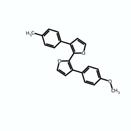 COc1ccc(-c2ccoc2-c2occc2-c2ccc(C)cc2)cc1